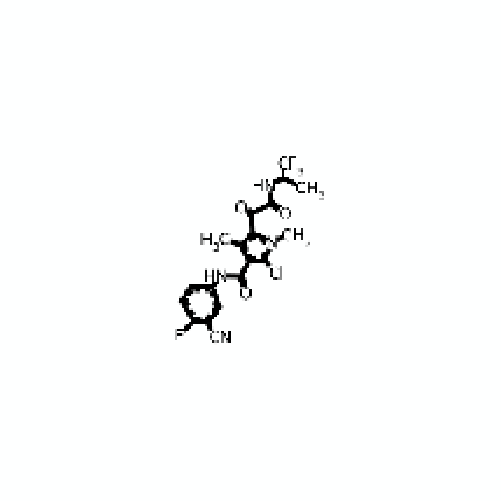 Cc1c(C(=O)Nc2ccc(F)c(C#N)c2)c(Cl)n(C)c1C(=O)C(=O)N[C@H](C)C(F)(F)F